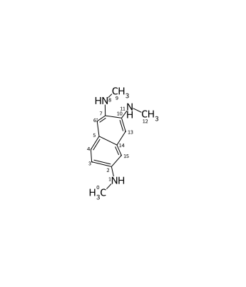 CNc1ccc2[c]c(NC)c(NC)cc2c1